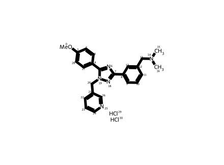 COc1ccc(-c2nc(-c3cccc(CN(C)C)c3)nn2Cc2cccnc2)cc1.Cl.Cl